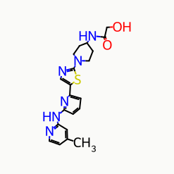 Cc1ccnc(Nc2cccc(-c3cnc(N4CCC(NC(=O)CO)CC4)s3)n2)c1